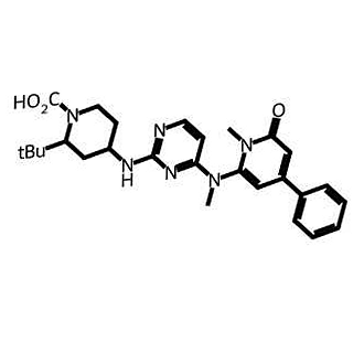 CN(c1ccnc(NC2CCN(C(=O)O)C(C(C)(C)C)C2)n1)c1cc(-c2ccccc2)cc(=O)n1C